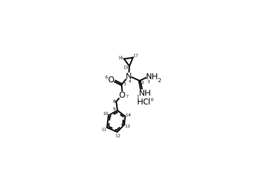 Cl.N=C(N)N(C(=O)OCc1ccccc1)C1CC1